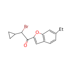 CCc1ccc2cc(C(=O)C(Br)C3CC3)oc2c1